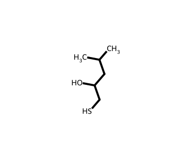 CC(C)CC(O)CS